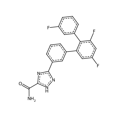 NC(=O)c1nc(-c2cccc(-c3cc(F)cc(F)c3-c3cccc(F)c3)c2)n[nH]1